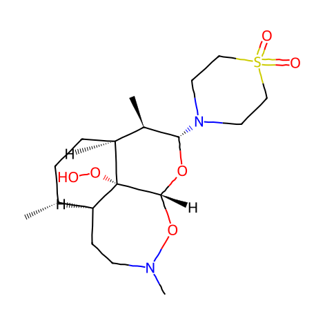 C[C@H]1[C@H](N2CCS(=O)(=O)CC2)O[C@@H]2ON(C)CC[C@H]3[C@H](C)CC[C@@H]1[C@@]23OO